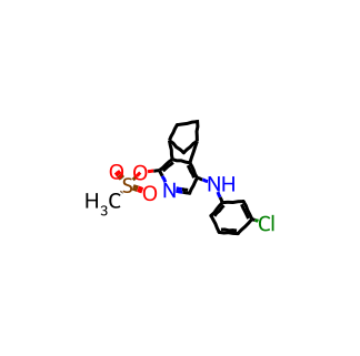 CS(=O)(=O)Oc1ncc(Nc2cccc(Cl)c2)c2c1C1CCC2C1